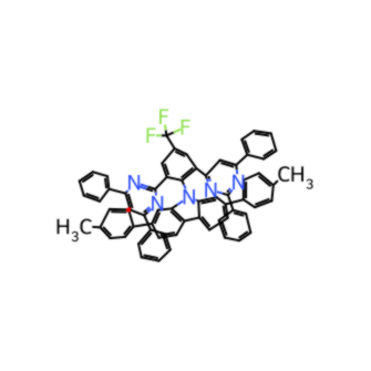 Cc1ccc(-c2ccc3c4ccc(-c5ccc(C)cc5)cc4n(-c4c(-c5cc(-c6ccccc6)nc(-c6ccccc6)n5)cc(C(F)(F)F)cc4-c4nc(-c5ccccc5)cc(-c5ccccc5)n4)c3c2)cc1